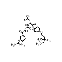 CCC(C)(C)CCOc1ccc(NC(=O)[C@H](CC(=O)O)NC(=O)CNC(=O)c2cccc(N=C(N)N)c2)cc1